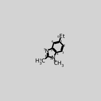 CCc1ccc2c(c1)nc(C)n2C